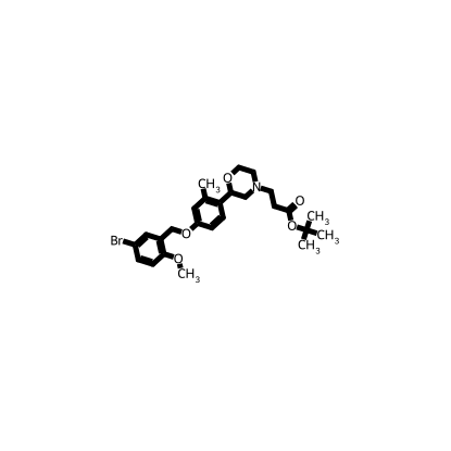 COc1ccc(Br)cc1COc1ccc(C2CN(CCC(=O)OC(C)(C)C)CCO2)c(C)c1